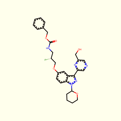 O=C(NC[C@@H](F)COc1ccc2c(c1)c(-c1cncc(CO)n1)nn2C1CCCCO1)OCc1ccccc1